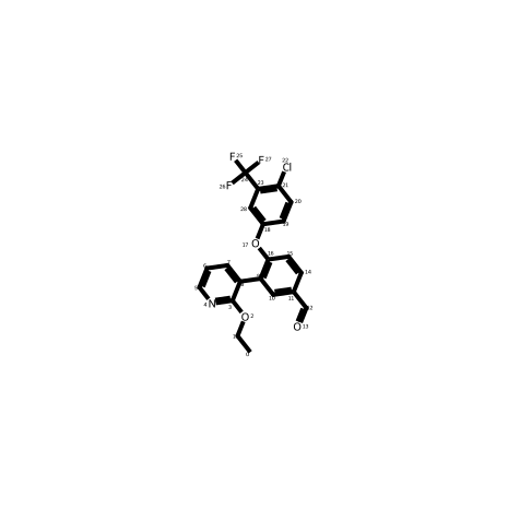 CCOc1ncccc1-c1cc(C=O)ccc1Oc1ccc(Cl)c(C(F)(F)F)c1